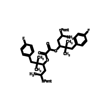 CCCCCC(N)CC(OC(=O)C(=O)OC(CC(N)CCCCC)C(C)(C)Cc1ccc(F)cc1)C(C)(C)Cc1ccc(F)cc1